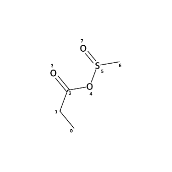 CCC(=O)OS(C)=O